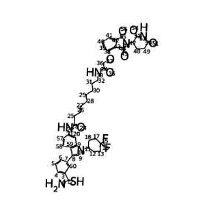 NC(S)c1cccc(-c2cn(C3CCC(F)(F)CC3)c3cc(NC(=O)CCCCCCCCNC(=O)COc4cccc5c4C(=O)N(C4CCC(=O)NC4=O)C5=O)ccc23)c1